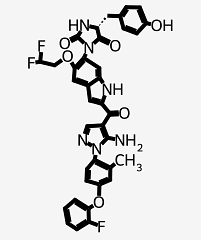 Cc1cc(Oc2ccccc2F)ccc1-n1ncc(C(=O)c2cc3cc(OCC(F)F)c(N4C(=O)N[C@H](Cc5ccc(O)cc5)C4=O)cc3[nH]2)c1N